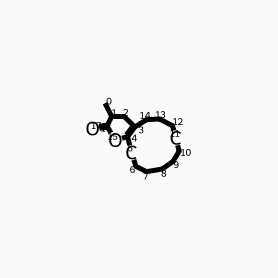 CC1CC2=C(CCCCCCCCCC2)OC1=O